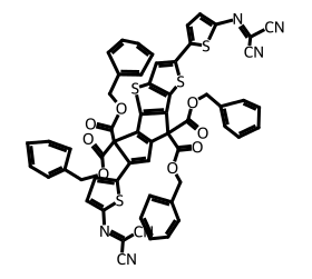 N#CC(C#N)=Nc1ccc(C2=CC3=C(c4sc5cc(-c6ccc(N=C(C#N)C#N)s6)sc5c4C3(C(=O)OCc3ccccc3)C(=O)OCc3ccccc3)C2(C(=O)OCc2ccccc2)C(=O)OCc2ccccc2)s1